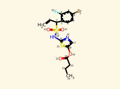 C=CC(c1ccc(Br)cc1F)S(=O)(=O)Nc1ncc(OC(=O)CCC)s1